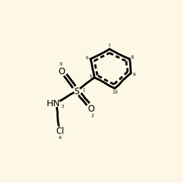 O=S(=O)(NCl)c1ccccc1